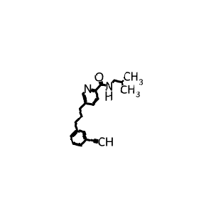 C#Cc1cccc(CCCc2ccc(C(=O)NCC(C)C)nc2)c1